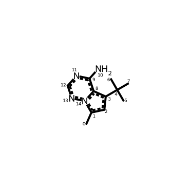 Cc1cc(C(C)(C)C)c2c(N)ncnn12